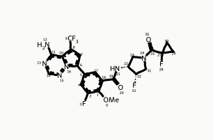 COc1c(F)cc(-c2cc(C(F)(F)F)c3c(N)ncnn23)cc1C(=O)N[C@@H]1CN(C(=O)C2(F)CC2)C[C@@H]1F